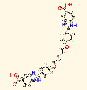 O=C(O)c1ccc2[nH]c(-c3ccc(OCCCCCOc4ccc(-c5nc6cc(C(=O)O)ccc6[nH]5)cc4)cc3)nc2c1